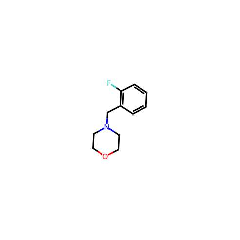 Fc1ccc[c]c1CN1CCOCC1